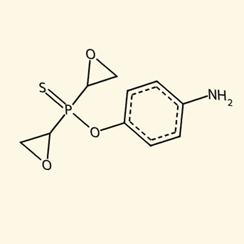 Nc1ccc(OP(=S)(C2CO2)C2CO2)cc1